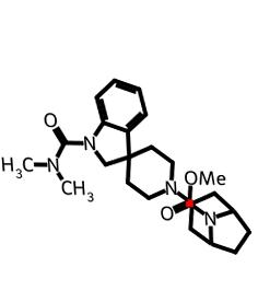 COC(=O)N1C2CCC1CC(N1CCC3(CC1)CN(C(=O)N(C)C)c1ccccc13)C2